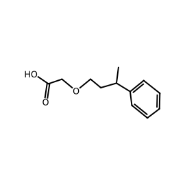 CC(CCOCC(=O)O)c1ccccc1